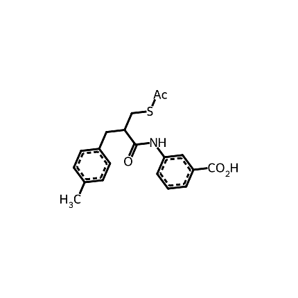 CC(=O)SCC(Cc1ccc(C)cc1)C(=O)Nc1cccc(C(=O)O)c1